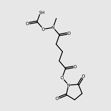 CN(OC(=O)S)C(=O)CCCC(=O)ON1C(=O)CCC1=O